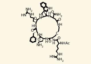 CC(=O)N[C@@H](CCCNC(=N)N)C(=O)N[C@H]1CCCCNC(=O)CC(C(N)=O)NC(=O)[C@H](Cc2c[nH]c3ccccc23)NC(=O)[C@H](CCCNC(=N)N)NC(=O)[C@@H](Cc2ccccc2)NC(=O)[C@H](CCN)NC1=O